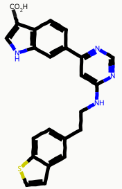 O=C(O)c1c[nH]c2cc(-c3cc(NCCc4ccc5sccc5c4)ncn3)ccc12